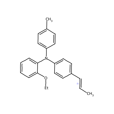 C/C=C/c1ccc(N(c2ccc(C)cc2)c2ccccc2OCC)cc1